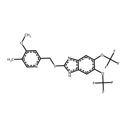 COc1cc(CSc2nc3cc(OC(F)(F)F)c(OC(F)(F)F)cc3[nH]2)ncc1C